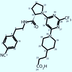 N#Cc1ccc(CCNC(=O)[C@@H]2CCCN2c2cc(N3CCC(CCC(=O)O)CC3)nc(C(F)(F)F)n2)cc1